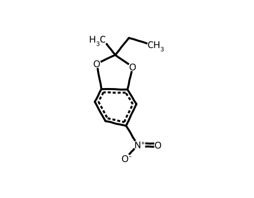 CCC1(C)Oc2ccc([N+](=O)[O-])cc2O1